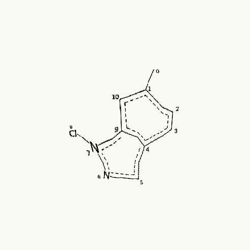 Cc1ccc2cnn(Cl)c2c1